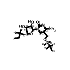 CCC(C)(I)C[C@H]1OC(n2cc(CO[Si](C)(C)C(C)(C)C)c(N)nc2=O)[C@H](O)[C@@H]1O